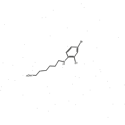 CCCCCCCCCCCCCCCCNc1ccc(Br)cc1CC